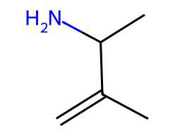 C=C(C)C(C)N